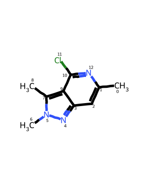 Cc1cc2nn(C)c(C)c2c(Cl)n1